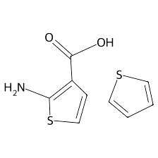 Nc1sccc1C(=O)O.c1ccsc1